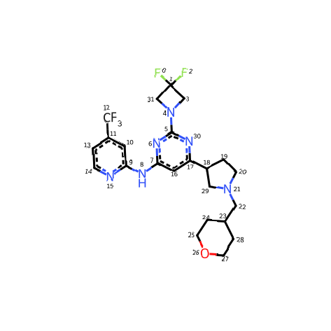 FC1(F)CN(c2nc(Nc3cc(C(F)(F)F)ccn3)cc(C3CCN(CC4CCOCC4)C3)n2)C1